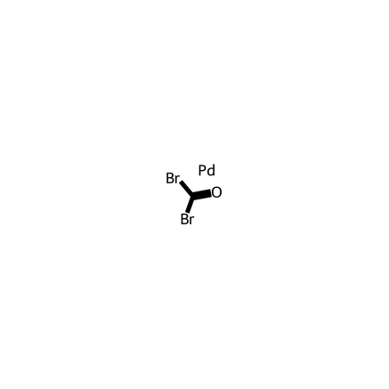 O=C(Br)Br.[Pd]